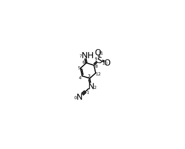 N#CN=C1C=CC(=N)C(=S(=O)=O)C1